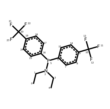 CCN(CC)P(c1ccc(C(F)(F)F)cc1)c1ccc(C(F)(F)F)cc1